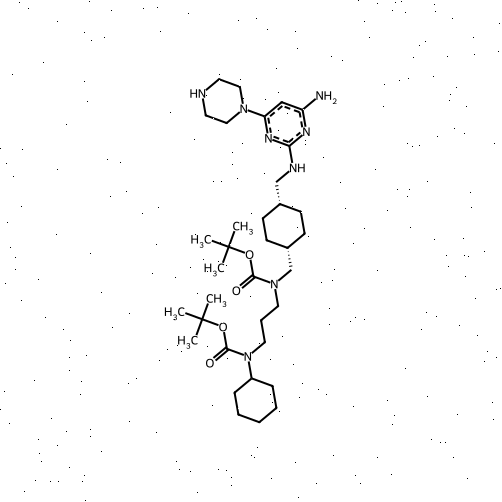 CC(C)(C)OC(=O)N(CCCN(C(=O)OC(C)(C)C)C1CCCCC1)C[C@H]1CC[C@@H](CNc2nc(N)cc(N3CCNCC3)n2)CC1